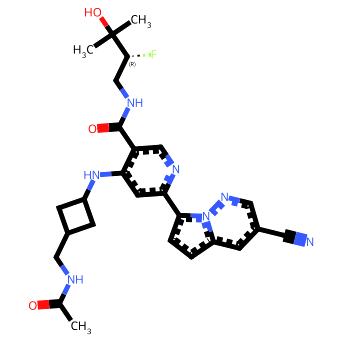 CC(=O)NCC1CC(Nc2cc(-c3ccc4cc(C#N)cnn34)ncc2C(=O)NC[C@@H](F)C(C)(C)O)C1